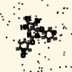 CCc1[nH]c2nc(Oc3ccc[n+]([O-])c3)nc(Oc3cccnc3)c2c1Br